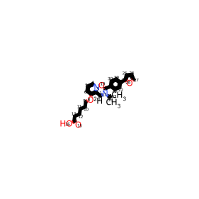 [2H]C(c1ncccc1OCCCCCC(=O)O)N(C(=O)c1ccc(-c2ccco2)cc1)C(C)C